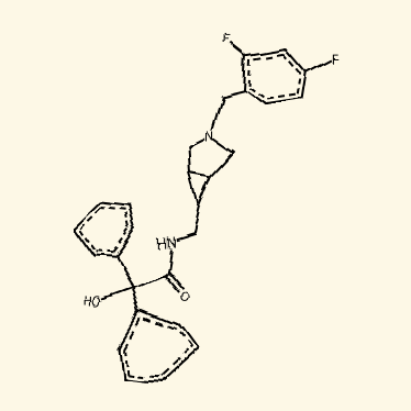 O=C(NCC1C2CN(Cc3ccc(F)cc3F)CC12)C(O)(c1ccccc1)c1ccccc1